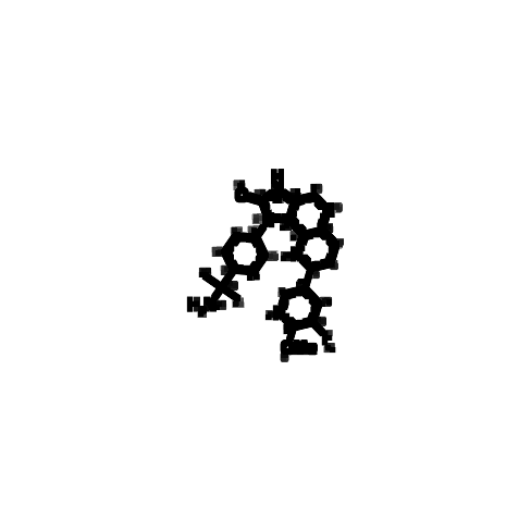 COc1ncc(-c2ccc3ncc4[nH]c(=O)n(-c5ccc(C(C)(C)N)cc5)c4c3n2)cc1F